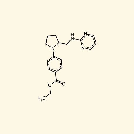 CCOC(=O)c1ccc(N2CCCC2CNc2ncccn2)cc1